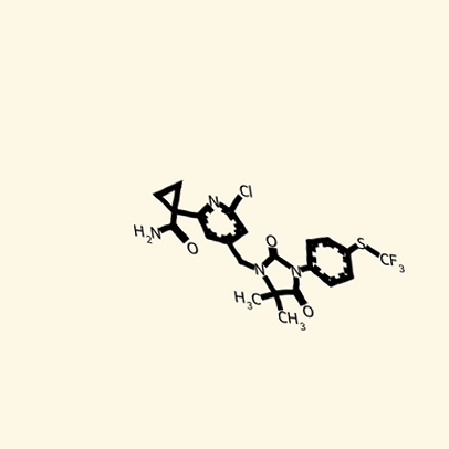 CC1(C)C(=O)N(c2ccc(SC(F)(F)F)cc2)C(=O)N1Cc1cc(Cl)nc(C2(C(N)=O)CC2)c1